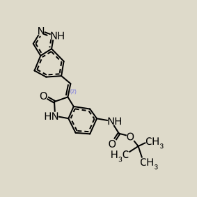 CC(C)(C)OC(=O)Nc1ccc2c(c1)/C(=C/c1ccc3cn[nH]c3c1)C(=O)N2